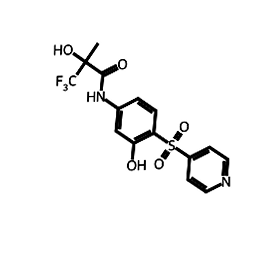 CC(O)(C(=O)Nc1ccc(S(=O)(=O)c2ccncc2)c(O)c1)C(F)(F)F